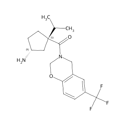 CC(C)[C@]1(C(=O)N2COc3ccc(C(F)(F)F)cc3C2)CC[C@@H](N)C1